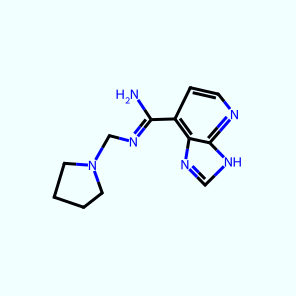 NC(=NCN1CCCC1)c1ccnc2[nH]cnc12